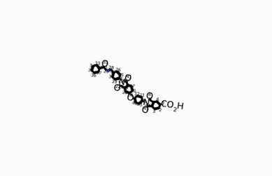 O=C(O)c1ccc2c(c1)C(=O)N(c1ccc(Oc3ccc4c(c3)C(=O)N(c3ccc(/C=C/C(=O)c5ccccc5)cc3)C4=O)cc1)C2=O